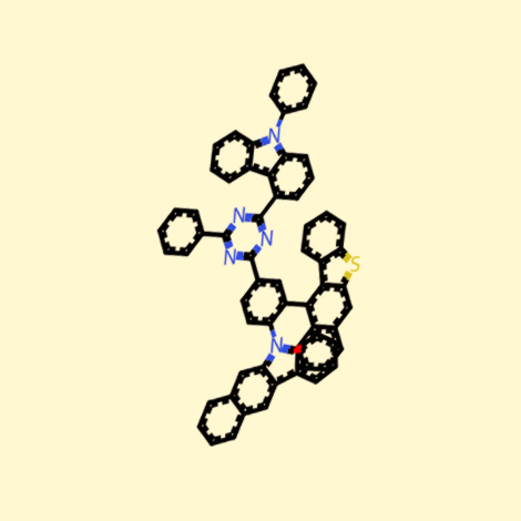 c1ccc(-c2nc(-c3ccc(-n4c5ccccc5c5cc6ccccc6cc54)c(-c4c5ccccc5cc5sc6ccccc6c45)c3)nc(-c3cccc4c3c3ccccc3n4-c3ccccc3)n2)cc1